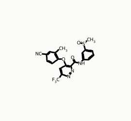 Cc1cc(C#N)ccc1Oc1cc(C(F)(F)F)nnc1C(=O)Nc1cccc([S+](C)[O-])c1